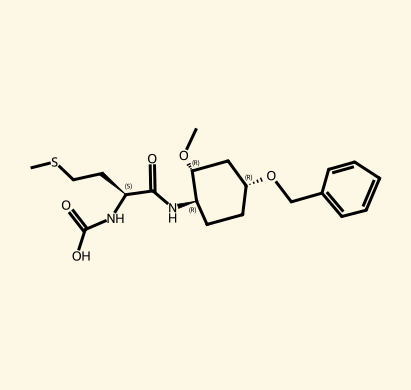 CO[C@@H]1C[C@H](OCc2ccccc2)CC[C@H]1NC(=O)[C@H](CCSC)NC(=O)O